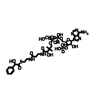 CC(C)(COP(=O)(O)OP(=O)(O)OC[C@H]1O[C@@H](n2cnc3c(N)ncnc32)[C@H](O)[C@@H]1OP(=O)(O)O)[C@@H](O)C(=O)NCCC(=O)NCCSC(=O)C(O)c1ccccc1.O=CO